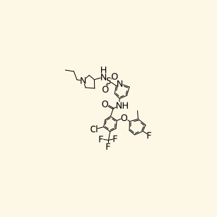 CCCN1CCC(NS(=O)(=O)c2cc(NC(=O)c3cc(Cl)c(C(F)(F)F)cc3Oc3ccc(F)cc3C)ccn2)C1